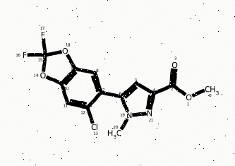 COC(=O)c1cc(-c2cc3c(cc2Cl)OC(F)(F)O3)n(C)n1